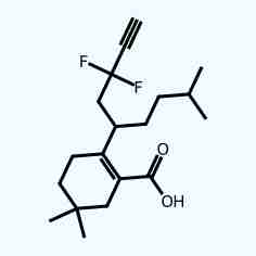 C#CC(F)(F)CC(CCC(C)C)C1=C(C(=O)O)CC(C)(C)CC1